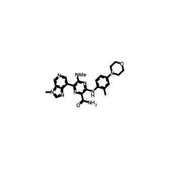 CNc1nc(Nc2ccc(N3CCOCC3)cc2C)c(C(N)=O)nc1-c1cncc2c1ncn2C